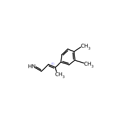 C/C(=C\C=N)c1ccc(C)c(C)c1